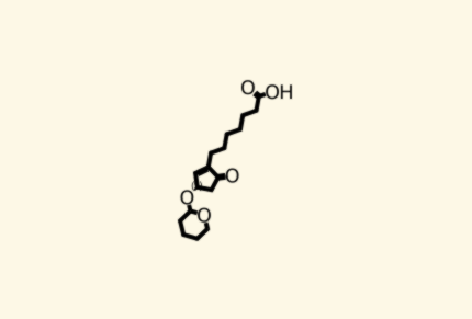 O=C(O)CCCCCCC1=C[C@@H](OC2CCCCO2)CC1=O